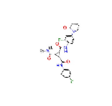 CCN(CC)C(=O)[C@H]1[C@H](C(=O)Nc2ccc(Cl)cc2)[C@@H]1C(=O)Nc1ccc(-n2ccccc2=O)cc1F